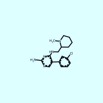 CN1CCCCC1CNc1nc(N)ncc1-c1cccc(Cl)c1